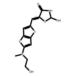 CN(CCO)c1cc2sc(/C=C3\SC(O)NC3=O)cc2s1